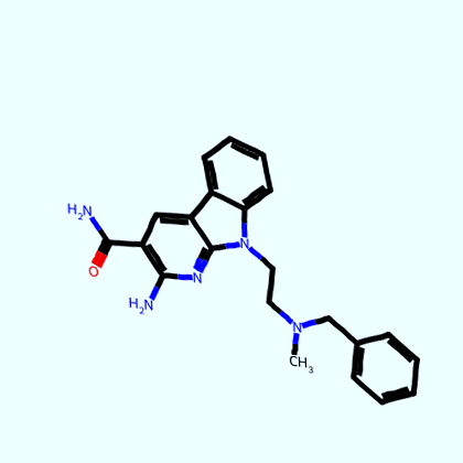 CN(CCn1c2ccccc2c2cc(C(N)=O)c(N)nc21)Cc1ccccc1